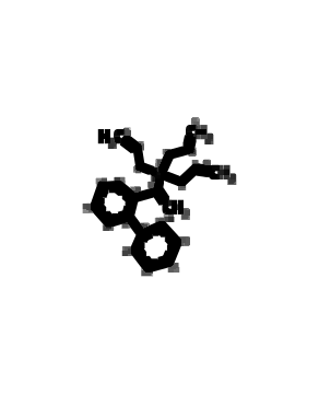 C=CC[Si](CC=C)(CC=C)C(=C)c1ccccc1-c1ccccc1